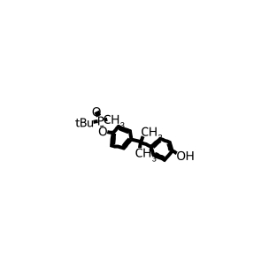 CC(C)(c1ccc(O)cc1)c1ccc(OP(C)(=O)C(C)(C)C)cc1